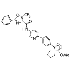 COC(=O)C1(C(=O)c2ccc(-c3ccc(NC(=O)c4nc(-c5ccccc5)oc4C(F)(F)F)cn3)cc2)CCCC1